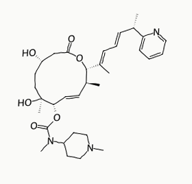 C/C(=C\C=C\[C@H](C)c1ccccn1)[C@H]1OC(=O)C[C@@H](O)CC[C@](C)(O)[C@@H](OC(=O)N(C)C2CCN(C)CC2)/C=C/[C@@H]1C